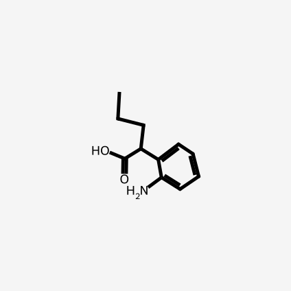 CCCC(C(=O)O)c1ccccc1N